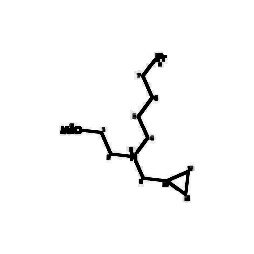 COCCN(CCCCC(C)C)CC1CC1